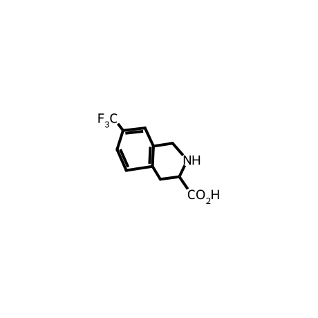 O=C(O)C1Cc2ccc(C(F)(F)F)cc2CN1